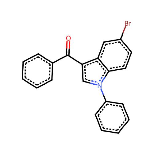 O=C(c1ccccc1)c1cn(-c2ccccc2)c2ccc(Br)cc12